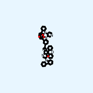 c1ccc2c(c1)Oc1ccccc1C21c2cc(-c3ccc4c(c3)c3ccccc3n4-c3cnccc3-n3c4ccccc4c4ccccc43)cnc2-c2ncc(-n3c4ccccc4c4ccccc43)cc21